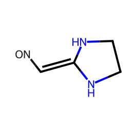 O=NC=C1NCCN1